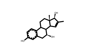 CC1=CC2C3C(CC[C@]2(C)[C@H]1O)c1ccc(O)cc1C[C@@H]3O